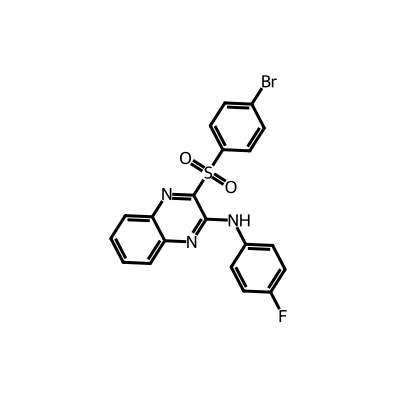 O=S(=O)(c1ccc(Br)cc1)c1nc2ccccc2nc1Nc1ccc(F)cc1